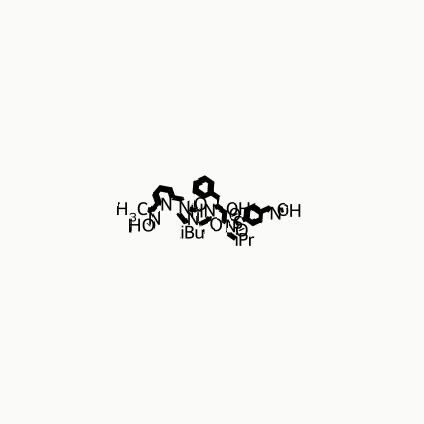 CC[C@H](C)[C@@H](C(=O)N[C@@H](Cc1ccccc1)[C@H](O)CN(CC(C)C)S(=O)(=O)c1ccc(C=NO)cc1)N1CCN(Cc2cccc(C(C)=NO)n2)C1=O